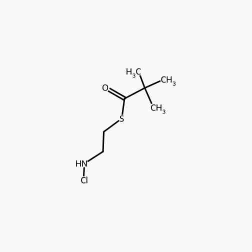 CC(C)(C)C(=O)SCCNCl